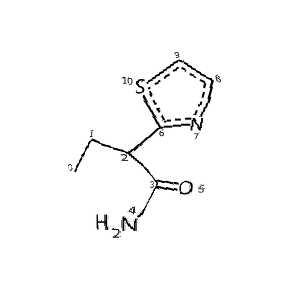 CCC(C(N)=O)c1nccs1